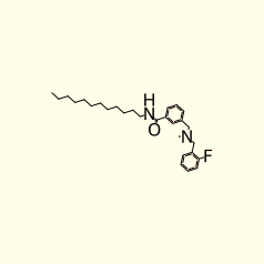 CCCCCCCCCCCCNC(=O)c1cccc(C[N]Cc2ccccc2F)c1